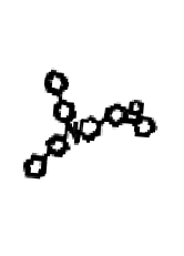 CC1(N(c2ccc(-c3ccccc3)cc2)c2ccc(-c3ccccc3)cc2)C=CC(c2ccc3oc4c(c3c2)CCC=C4)CC1